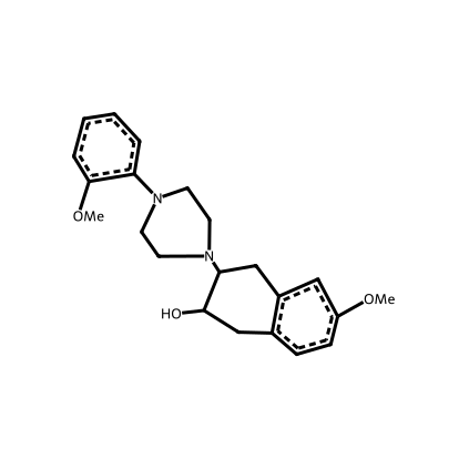 COc1ccc2c(c1)CC(N1CCN(c3ccccc3OC)CC1)C(O)C2